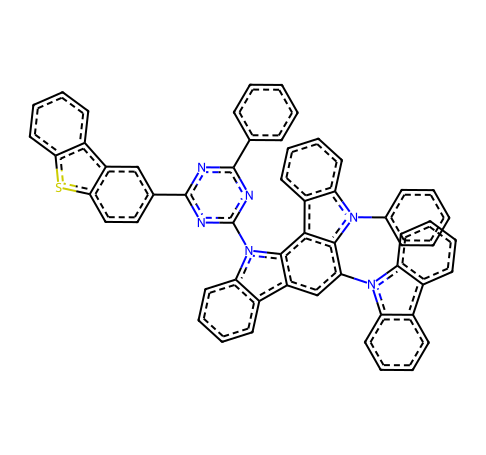 c1ccc(-c2nc(-c3ccc4sc5ccccc5c4c3)nc(-n3c4ccccc4c4cc(-n5c6ccccc6c6ccccc65)c5c(c6ccccc6n5-c5ccccc5)c43)n2)cc1